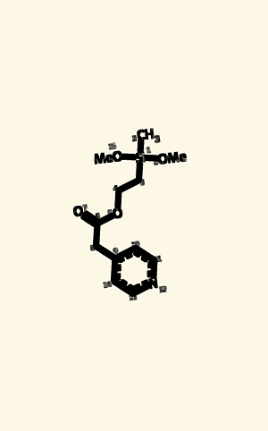 CO[Si](C)(CCOC(=O)Cc1ccncc1)OC